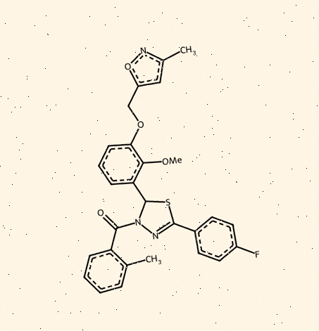 COc1c(OCc2cc(C)no2)cccc1C1SC(c2ccc(F)cc2)=NN1C(=O)c1ccccc1C